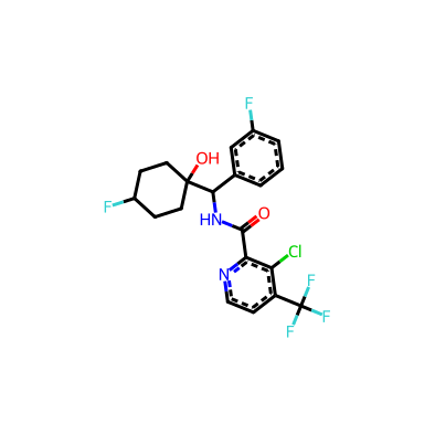 O=C(NC(c1cccc(F)c1)C1(O)CCC(F)CC1)c1nccc(C(F)(F)F)c1Cl